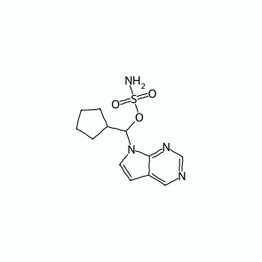 NS(=O)(=O)OC(C1CCCC1)n1ccc2cncnc21